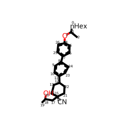 CCCCCCC(C)Oc1ccc(-c2ccc(C3CCC(C#N)(CC(C)O)CC3)cc2)cc1